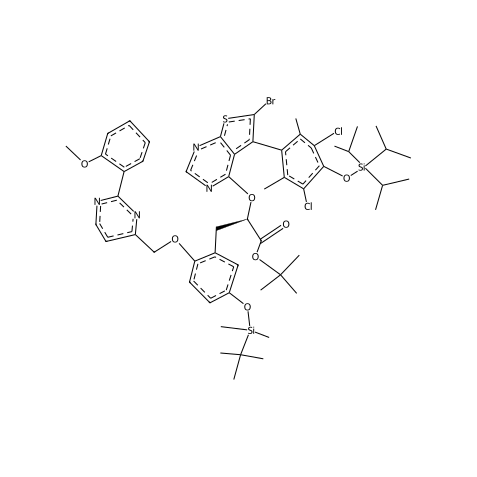 COc1ccccc1-c1nccc(COc2ccc(O[Si](C)(C)C(C)(C)C)cc2C[C@@H](Oc2ncnc3sc(Br)c(-c4c(C)c(Cl)c(O[Si](C(C)C)(C(C)C)C(C)C)c(Cl)c4C)c23)C(=O)OC(C)(C)C)n1